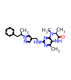 Cc1nc(NCc2cnn(C(C)Cc3ccccc3)c2)nc2c1NC(=O)[C@H](C)N2C